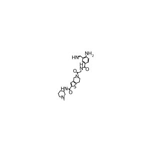 CN1CCCC(NC(=O)c2cc3c(s2)CCN(C(=O)CNC(=O)c2ccc(N)c(C=N)c2)C3)C1